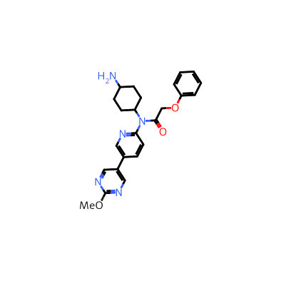 COc1ncc(-c2ccc(N(C(=O)COc3ccccc3)C3CCC(N)CC3)nc2)cn1